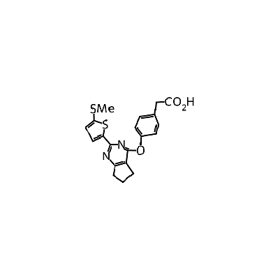 CSc1ccc(-c2nc3c(c(Oc4ccc(CC(=O)O)cc4)n2)CCC3)s1